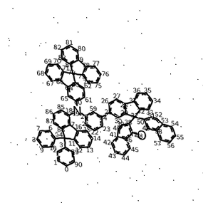 c1ccc(C2(c3ccccc3)c3ccccc3-c3c(N(c4cccc(-c5ccc6c(c5)C5(c7ccccc7-6)c6ccc7ccccc7c6Oc6c5ccc5ccccc65)c4)c4ccc5c(c4)-c4ccccc4C54c5ccccc5-c5ccccc54)cccc32)cc1